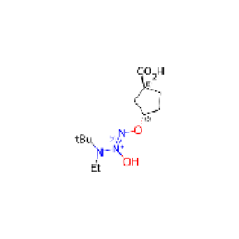 CCN(/[N+](O)=N/O[C@H]1CC[C@H](C(=O)O)C1)C(C)(C)C